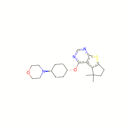 CC1(C)CCc2sc3ncnc(O[C@H]4CC[C@H](N5CCOCC5)CC4)c3c21